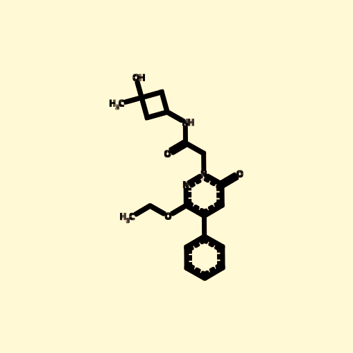 CCOc1nn(CC(=O)NC2CC(C)(O)C2)c(=O)cc1-c1ccccc1